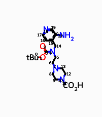 CC(C)(C)OC(=O)N(CCN1CCN(C(=O)O)CC1)Cc1ccncc1N